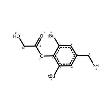 CC(C)(C)c1cc(CS)cc(C(C)(C)C)c1OC(=O)CO